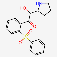 O=C(c1ccccc1S(=O)(=O)c1ccccc1)C(O)C1CCCN1